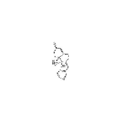 CC1(O)C(=Cc2ccccc2)CCC2=CC(=O)CCC21C